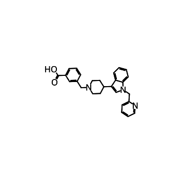 O=C(O)c1cccc(CN2CCC(c3cn(Cc4ccccn4)c4ccccc34)CC2)c1